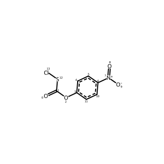 O=C(Oc1ccc([N+](=O)[O-])cc1)SCl